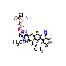 CCCCc1nc(C)n2nc(OCCOC(C)=O)nc2c1Cc1ccc(-c2ccccc2C#N)cc1